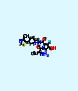 Cc1ncsc1-c1ccc(CNC(=O)[C@@H]2[C@H](F)[C@@H](O)CN2C(=O)C(N)C(C)(C)C)cc1